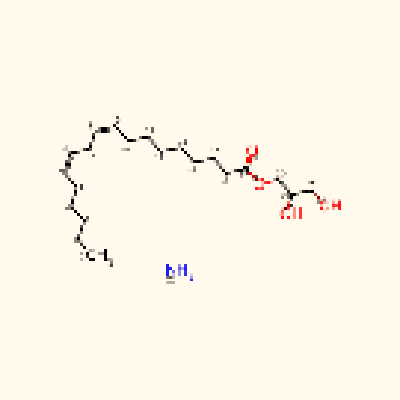 CCCCC/C=C\C/C=C\CCCCCCCC(=O)OCC(O)CO.N